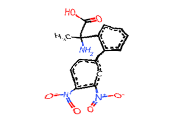 CC(N)(C(=O)O)c1ccccc1-c1ccc([N+](=O)[O-])c([N+](=O)[O-])c1